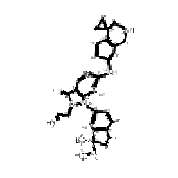 C=CCn1c(=O)c2cnc(Nc3ccc4c(c3)CNCC43CC3)nc2n1-c1ccc2c(n1)[C@](C)(OC)CC2